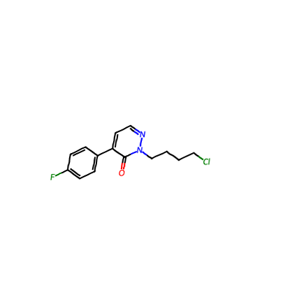 O=c1c(-c2ccc(F)cc2)ccnn1CCCCCl